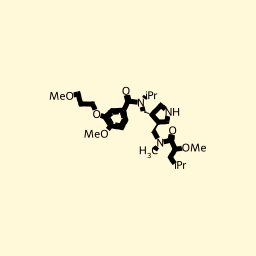 COCCCOc1cc(C(=O)N(C[C@@H]2CNC[C@H]2CN(C)C(=O)C(CC(C)C)OC)C(C)C)ccc1OC